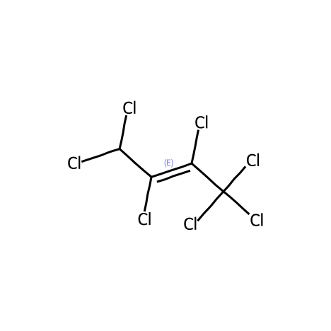 Cl/C(=C(/Cl)C(Cl)(Cl)Cl)C(Cl)Cl